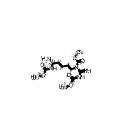 CC(C)(C)OC(=O)NC(=N)N(CCCC[C@@H](N)NC(=O)OC(C)(C)C)C(=O)OC(C)(C)C